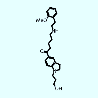 COc1ccccc1CCNCCCCC(=O)c1ccc2c(c1)CCN2CCCO